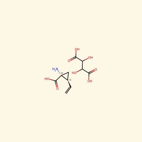 C=C[C@@H]1C[C@]1(N)C(=O)O.O=C(O)C(O)C(O)C(=O)O